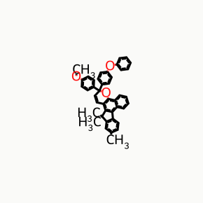 COc1ccc(C2(c3ccc(Oc4ccccc4)cc3)C=Cc3c4c(c5ccccc5c3O2)-c2ccc(C)cc2C4(C)C)cc1